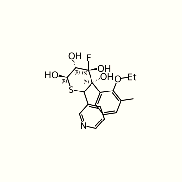 CCOc1c(C)cccc1[C@@]1(O)C(c2cccnc2)S[C@@H](O)[C@H](O)[C@]1(O)F